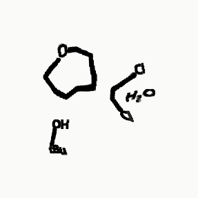 C1CCOC1.CC(C)(C)O.ClCCl.O